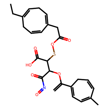 C=C(OC(C(=O)N=O)C(SOC(=O)C/C1=C/C/C=C(/CC)CC=C1)C(=O)O)C1=CC=C(C)C=CC1